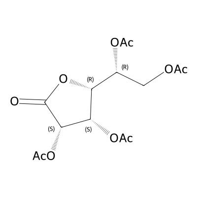 CC(=O)OC[C@@H](OC(C)=O)[C@H]1OC(=O)[C@@H](OC(C)=O)[C@H]1OC(C)=O